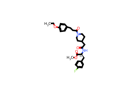 CCOc1ccc(CCC(=O)N2CCC(CC(=O)N[C@@H](Cc3ccc(F)cc3)C(=O)OC)CC2)cc1